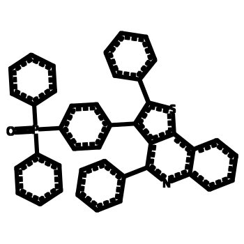 O=P(c1ccccc1)(c1ccccc1)c1ccc(-c2c(-c3ccccc3)sc3c2c(-c2ccccc2)nc2ccccc23)cc1